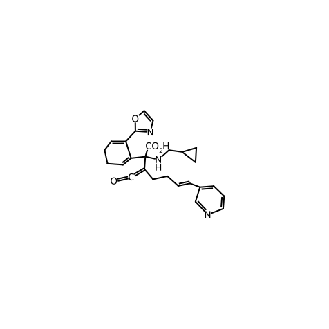 O=C=C(CCC=Cc1cccnc1)C(NCC1CC1)(C(=O)O)C1=CCCC=C1c1ncco1